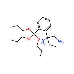 CCCO[Si](OCCC)(OCCC)c1ccccc1C(N)(CC)CN